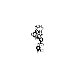 COCCC1(O)COCCN(S(=O)(=O)C2C=C(C(=O)Nc3ccc(F)c(Cl)c3)C=CC2F)C1